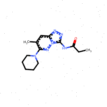 CCC(=O)Nc1nnc2cc(C)c(N3CCCCC3)nn12